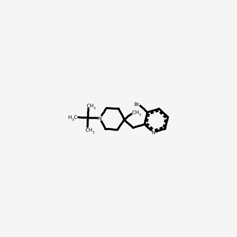 CC1(Cc2ncccc2Br)CCN(C(C)(C)C)CC1